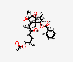 CC(=O)OC[C@H](C)CCC(=O)[C@@H](C)[C@H]1C(=O)[C@@H]2O[C@]2(C(C)C)[C@]1(C)[C@@H](C)OC(=O)c1ccccc1